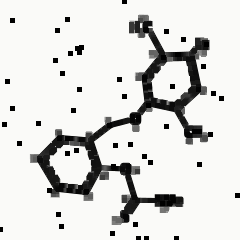 CCc1cc(C)c(OCc2ccccc2OC(=S)NC)cc1C